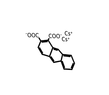 O=C([O-])c1ccc2cc3ccccc3cc2c1C(=O)[O-].[Cs+].[Cs+]